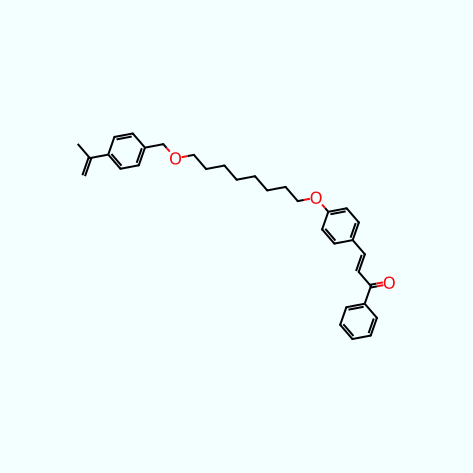 C=C(C)c1ccc(COCCCCCCCCOc2ccc(C=CC(=O)c3ccccc3)cc2)cc1